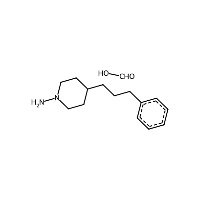 NN1CCC(CCCc2ccccc2)CC1.O=CO